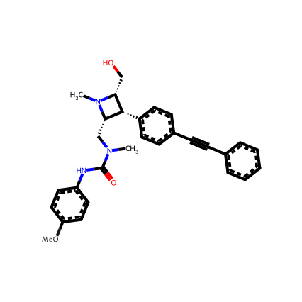 COc1ccc(NC(=O)N(C)C[C@H]2[C@@H](c3ccc(C#Cc4ccccc4)cc3)[C@@H](CO)N2C)cc1